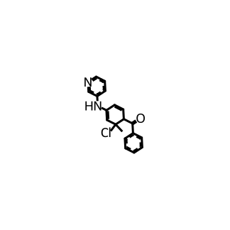 CC1(Cl)C=C(Nc2cccnc2)C=CC1C(=O)c1ccccc1